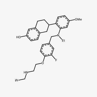 CCN(Cc1ccc(OCCNCC(C)C)c(F)c1)c1cc(OC)ccc1C1CCc2cc(O)ccc2C1